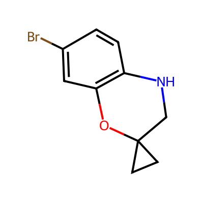 Brc1ccc2c(c1)OC1(CC1)CN2